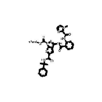 CCCCCOC(=O)n1nc(NC(=O)c2ccccc2NC(=O)c2nccn2C)c2cc(C(=O)NC(C)(C)c3ccccc3)sc21